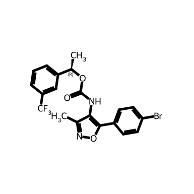 Cc1noc(-c2ccc(Br)cc2)c1NC(=O)O[C@H](C)c1cccc(C(F)(F)F)c1